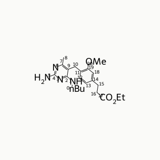 CCCCNc1nc(N)nc(C)c1Cc1ccc(CCC(=O)OCC)cc1OC